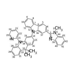 Cn1c(-c2ccc3c4ccccc4n(-c4ccc5c(c4)N(c4ccccn4)c4ccccc4C5(C)C)c3c2)nc2ccccc21